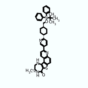 C[C@@H]1CNc2c(sc3ccc4nc(-c5ccc([C@H]6CC[C@H](CO[Si](c7ccccc7)(c7ccccc7)C(C)(C)C)CC6)nc5)ccc4c23)C(=O)N1